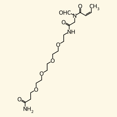 C/C=C\C(=O)N(C=O)CC(=O)NCCOCCOCCOCCOCCC(N)=O